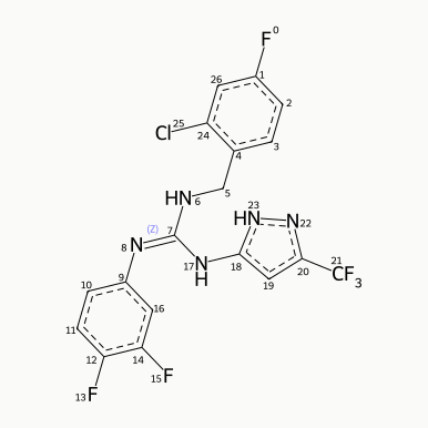 Fc1ccc(CN/C(=N/c2ccc(F)c(F)c2)Nc2cc(C(F)(F)F)n[nH]2)c(Cl)c1